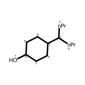 CCCC(CCC)C1CCC(O)CC1